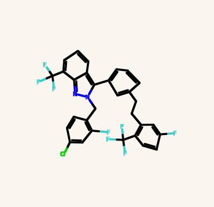 Fc1ccc(C(F)(F)F)c(CCc2cccc(-c3c4cccc(C(F)(F)F)c4nn3Cc3ccc(Cl)cc3F)c2)c1